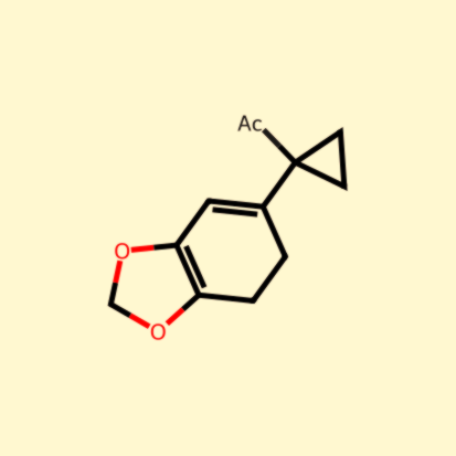 CC(=O)C1(C2=CC3=C(CC2)OCO3)CC1